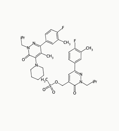 Cc1cc(-c2cc(COS(C)(=O)=O)c(=O)n(CC(C)C)n2)ccc1F.Cc1cc(-c2nn(CC(C)C)c(=O)c(N3CCCCC3)c2C)ccc1F